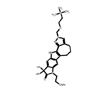 CCCC1(CCC)C(=O)N(CCOC)c2cc3c4c([nH]c3cc21)-c1nn(COCC[Si](C)(C)C)cc1CCC4